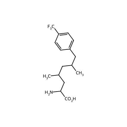 CC(Cc1ccc(C(F)(F)F)cc1)CC(C)CC(N)C(=O)O